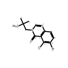 COC(C)(C)Cn1cnc2ccc(Br)c(Cl)c2c1=O